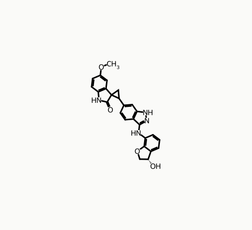 COc1ccc2c(c1)C1(CC1c1ccc3c(Nc4cccc5c4OC[C@H]5O)n[nH]c3c1)C(=O)N2